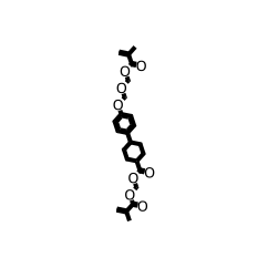 C=C(C)C(=O)OCOCOc1ccc(C2CCC(C(=O)OCOC(=O)C(=C)C)CC2)cc1